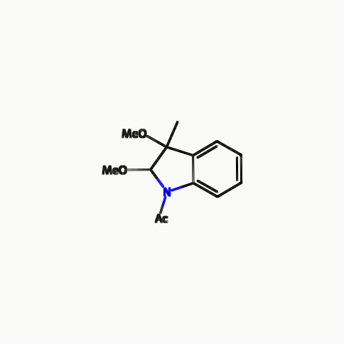 COC1N(C(C)=O)c2ccccc2C1(C)OC